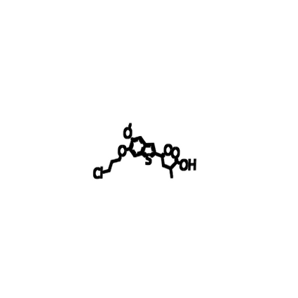 COc1cc2cc(C(=O)CC(C)C(=O)O)sc2cc1OCCCCl